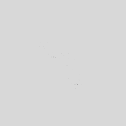 CCOC1CC2(C1)C[C@H]2C(=O)Nc1cc2cc(C3CCN([C@@]4(C)COC[C@H]4O)CC3)c(Cl)cc2cn1